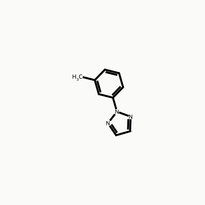 Cc1cccc(-n2n[c]cn2)c1